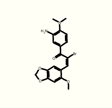 COc1cc2c(cc1/C=C(/Br)C(=O)c1ccc(N(C)C)c(N)c1)OCO2